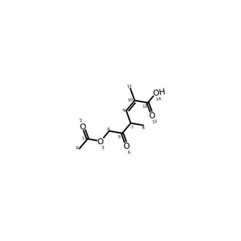 CC(=O)OCC(=O)C(C)C=C(C)C(=O)O